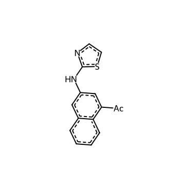 CC(=O)c1cc(Nc2nccs2)cc2ccccc12